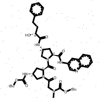 CN(CC(=O)N1C[C@H](NC(=O)OC(C)(C)C)C[C@H]1C(=O)N1C[C@H](NC(=O)[C@H](O)CCc2ccccc2)C[C@H]1C(=O)Nc1cnc2ccccc2c1)C(=O)OC(C)(C)C